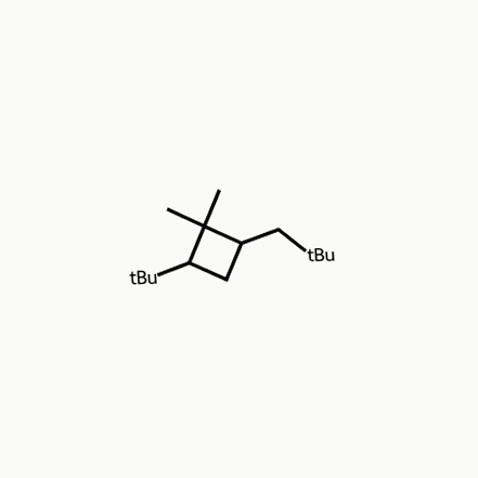 CC(C)(C)CC1CC(C(C)(C)C)C1(C)C